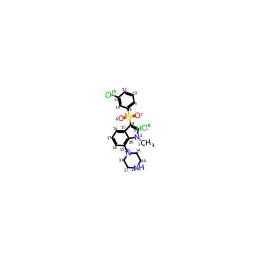 Cl.Cn1cc(S(=O)(=O)c2cccc(Cl)c2)c2cccc(N3CCNCC3)c21